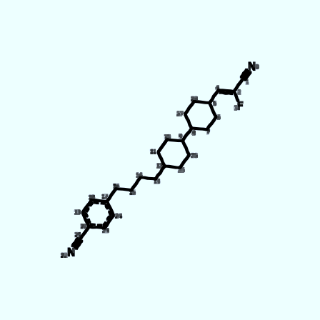 N#CC(F)=CC1CCC(C2CCC(CCCCc3ccc(C#N)cc3)CC2)CC1